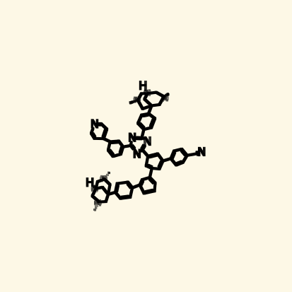 C[C@@H]1C[C@@H]2C[C@H](C)CC(c3ccc(-c4cccc(-c5cc(-c6ccc(C#N)cc6)cc(-c6nc(-c7ccc(C89C[C@H](C)C[C@H](C[C@H](C)C8)C9)cc7)nc(-c7cccc(-c8ccncc8)c7)n6)c5)c4)cc3)(C1)C2